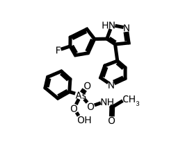 CC(=O)NO[As](=O)(OO)c1ccccc1.Fc1ccc(-c2[nH]ncc2-c2ccncc2)cc1